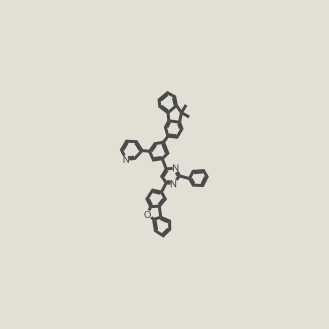 CC1(C)c2ccccc2-c2cc(-c3cc(-c4cccnc4)cc(-c4cc(-c5ccc6oc7ccccc7c6c5)nc(-c5ccccc5)n4)c3)ccc21